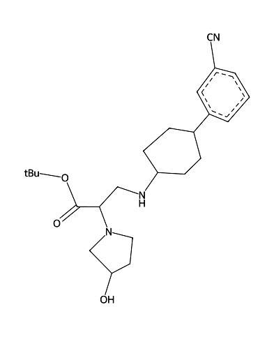 CC(C)(C)OC(=O)C(CNC1CCC(c2cccc(C#N)c2)CC1)N1CCC(O)C1